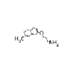 Cc1ccc2ccc(OCCCN)cc2c1